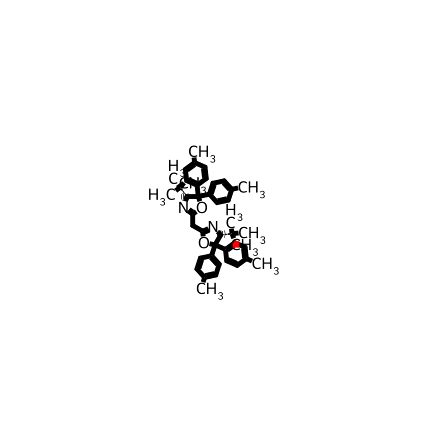 Cc1ccc(C2(c3ccc(C)cc3)OC(CC3=N[C@H](C(C)(C)C)C(c4ccc(C)cc4)(c4ccc(C)cc4)O3)=N[C@@H]2C(C)(C)C)cc1